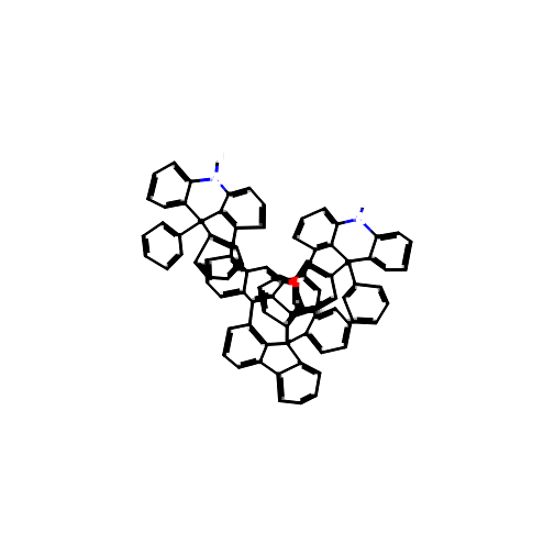 CN1c2ccccc2C(c2ccccc2)(c2ccccc2)c2c(-c3cccc4c(-c5cccc6c5C(c5ccccc5)(c5ccccc5)c5ccccc5-6)c5cccc(-c6cccc7c6C(c6ccccc6)(c6ccccc6)c6ccccc6N7C)c5cc34)cccc21